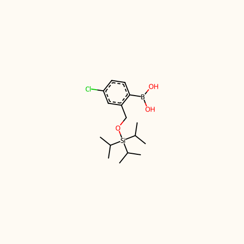 CC(C)[Si](OCc1cc(Cl)ccc1B(O)O)(C(C)C)C(C)C